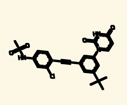 CC(C)(C)c1cc(C#Cc2ccc(NS(C)(=O)=O)cc2Cl)cc(-n2ccc(=O)[nH]c2=O)c1